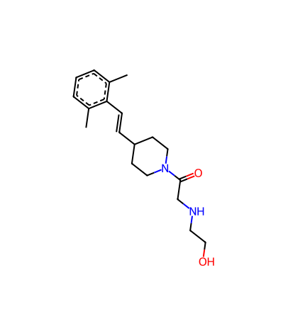 Cc1cccc(C)c1/C=C/C1CCN(C(=O)CNCCO)CC1